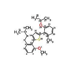 COc1cccc(CCC(C)C)c1-c1ccc(-c2c(C)cccc2OC(C)C)s1